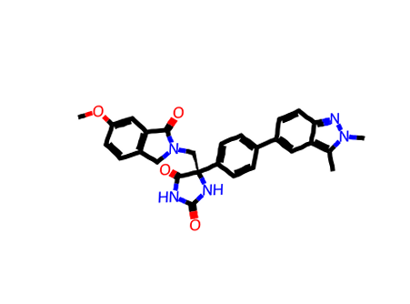 COc1ccc2c(c1)C(=O)N(C[C@@]1(c3ccc(-c4ccc5nn(C)c(C)c5c4)cc3)NC(=O)NC1=O)C2